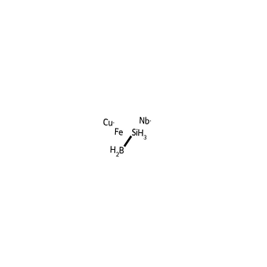 B[SiH3].[Cu].[Fe].[Nb]